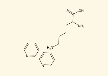 NCCCCC(N)C(=O)O.c1ccncc1.c1ccncc1